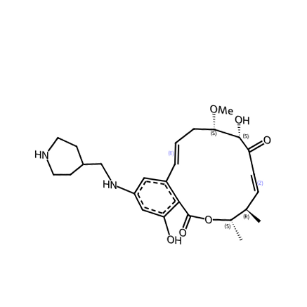 CO[C@H]1C/C=C/c2cc(NCC3CCNCC3)cc(O)c2C(=O)O[C@@H](C)[C@H](C)/C=C\C(=O)[C@H]1O